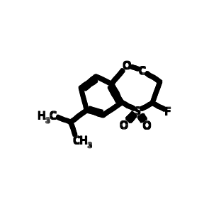 CC(C)c1ccc2c(c1)S(=O)(=O)C(F)CCO2